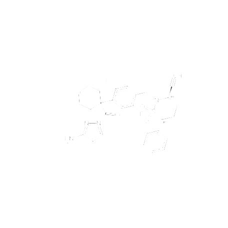 C#C[C@H]1CC[C@H](c2ccccc2)S(=O)(=O)N1Cc1cc(F)c(C2(C(=O)n3ccc(N)n3)CCOCC2)cc1F